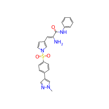 Cn1cc(-c2ccc(S(=O)(=O)n3ccc(C=C(N)C(=O)Nc4ccccc4)c3)cc2)cn1